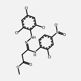 COC(=O)CC(=NNc1c(Cl)cc(Cl)cc1Cl)Nc1ccc([N+](=O)[O-])cc1Cl